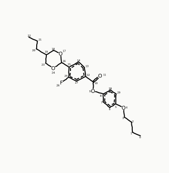 CCCCOc1ccc(OC(=O)c2ccc(C3OCC(CCC)CO3)c(F)c2)cc1